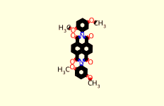 COc1ccc(OC)c(N2C(=O)c3ccc4c5c(ccc(c35)C2=O)C(=O)N(c2cc(OC)ccc2OC)C4=O)c1